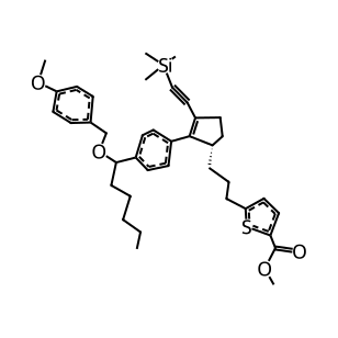 CCCCCC(OCc1ccc(OC)cc1)c1ccc(C2=C(C#C[Si](C)(C)C)CC[C@@H]2CCCc2ccc(C(=O)OC)s2)cc1